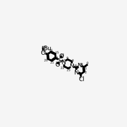 Cc1cc(Cl)nc(N2CCN(S(=O)(=O)c3ccc(OC(C)(C)C)cc3)CC2)n1